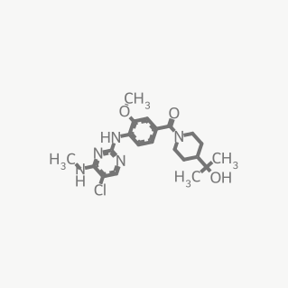 CNc1nc(Nc2ccc(C(=O)N3CCC(C(C)(C)O)CC3)cc2OC)ncc1Cl